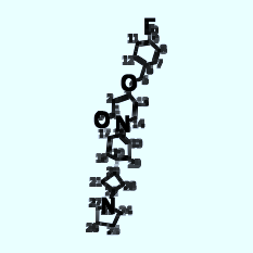 O=c1cc(OCc2ccc(F)cc2)ccn1-c1ccc([C@H]2C[C@H](N3CCCC3)C2)cc1